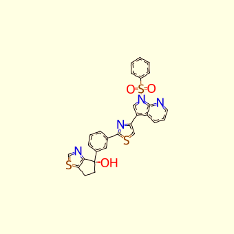 O=S(=O)(c1ccccc1)n1cc(-c2csc(-c3cccc([C@]4(O)CCc5scnc54)c3)n2)c2cccnc21